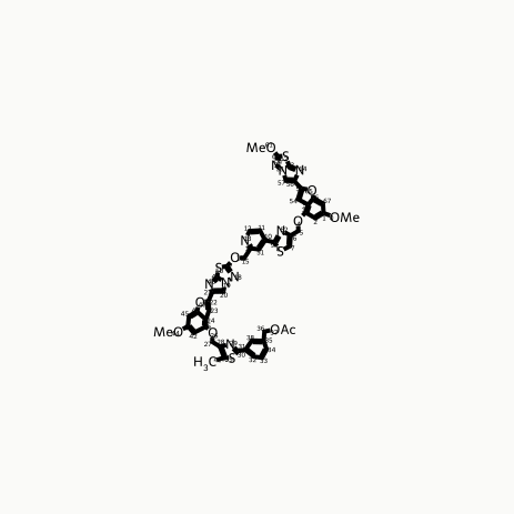 COc1cc(OCc2csc(-c3ccnc(COc4nn5cc(-c6cc7c(OCc8nc(-c9cccc(COC(C)=O)c9)sc8C)cc(OC)cc7o6)nc5s4)c3)n2)c2cc(-c3cn4nc(OC)sc4n3)oc2c1